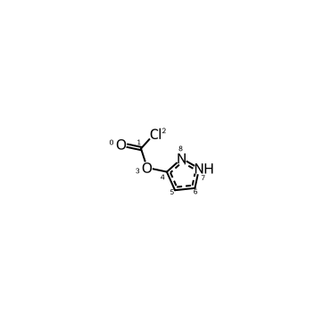 O=C(Cl)Oc1cc[nH]n1